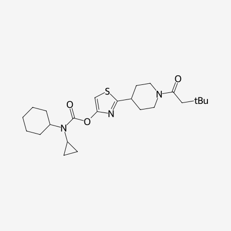 CC(C)(C)CC(=O)N1CCC(c2nc(OC(=O)N(C3CCCCC3)C3CC3)cs2)CC1